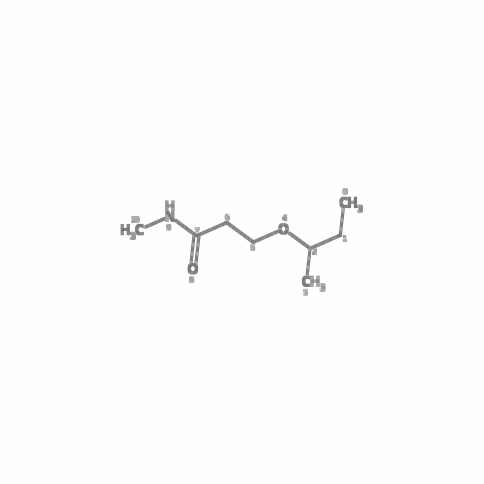 CCC(C)OCCC(=O)NC